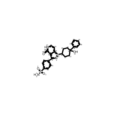 NS(=O)(=O)c1ccc(-c2nn(C3CCC(O)(c4ccccc4)CC3)c3cc[nH]c(=O)c23)cc1